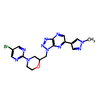 Cn1cc(-c2cnc3nnn(CC4CN(c5ncc(Br)cn5)CCO4)c3n2)cn1